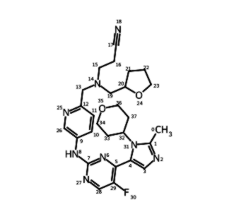 Cc1ncc(-c2nc(Nc3ccc(CN(CCC#N)CC4CCCO4)nc3)ncc2F)n1C1CCOCC1